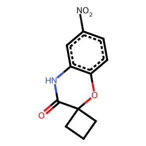 O=C1Nc2cc([N+](=O)[O-])ccc2OC12CCC2